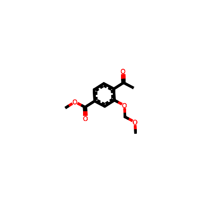 COCOc1cc(C(=O)OC)ccc1C(C)=O